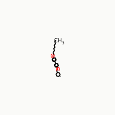 CCCCCCCCCOc1ccc(-c2ccc(OCC3CC[CH]CC3)cc2)cc1